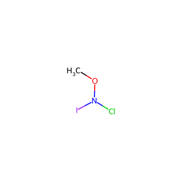 CON(Cl)I